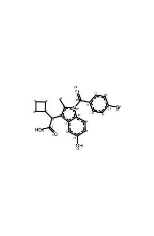 Cc1c(C(C(=O)O)C2CCC2)c2cc(O)ccc2n1C(=O)c1ccc(Br)cc1